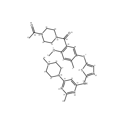 COc1cc(C)c(Sc2cnc(Nc3cc(N4CCN(C)CC4)nc(C)n3)s2)cc1C(=O)N1CCN(C(C)=O)CC1